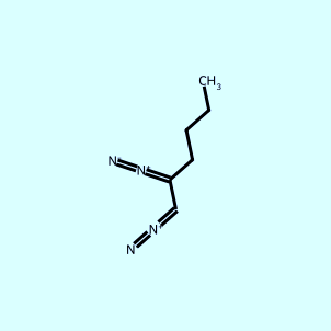 CCCCC(C=[N+]=[N-])=[N+]=[N-]